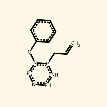 C=CCp1[nH][pH]npn1Oc1ccccc1